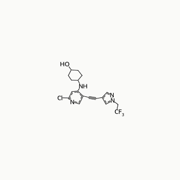 OC1CCC(Nc2cc(Cl)ncc2C#Cc2cnn(CC(F)(F)F)c2)CC1